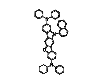 C1=CCCC(N(c2ccccc2)c2ccc3c(c2)oc2cc4c5ccc(N(c6ccccc6)c6ccccc6)cc5n(-c5cccc6ccccc56)c4cc23)=C1